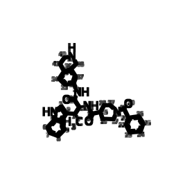 C[C@@H](c1c[nH]c2ccccc12)[C@@H](NC(=O)C1CCN(C(=O)c2ccccc2)CC1)C(=O)Nc1ccc2c(c1)CNCC2